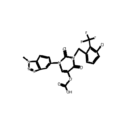 Cn1nnc2cc(-n3cc(OC(=O)O)c(=O)n(Cc4cccc(Cl)c4C(F)(F)F)c3=O)ccc21